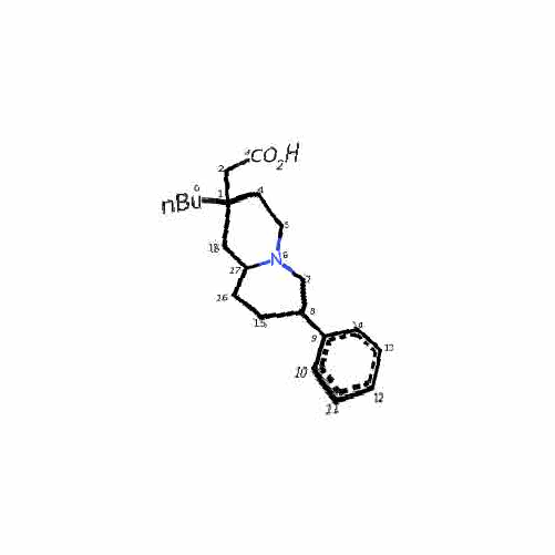 CCCCC1(CC(=O)O)CCN2CC(c3ccccc3)CCC2C1